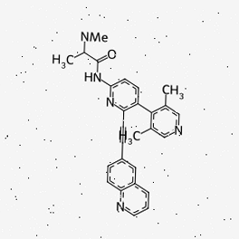 CNC(C)C(=O)Nc1ccc(-c2c(C)cncc2C)c(C#Cc2ccc3ncccc3c2)n1